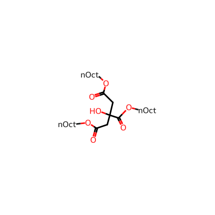 CCCCCCCCOC(=O)CC(O)(CC(=O)OCCCCCCCC)C(=O)OCCCCCCCC